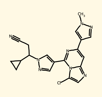 Cn1cc(-c2cc3ncc(Cl)n3c(-c3cnn(C(CC#N)C4CC4)c3)n2)cn1